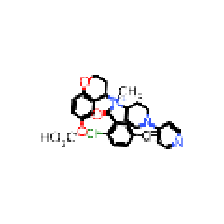 C[N+](C(=O)c1cc(C(F)(F)F)ccc1Cl)(C1CCN(c2ccncc2)CC1)C1CCOc2ccc(OC(=O)O)cc21